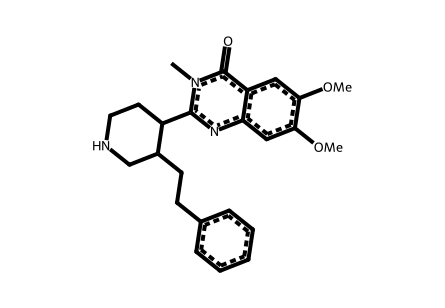 COc1cc2nc(C3CCNCC3CCc3ccccc3)n(C)c(=O)c2cc1OC